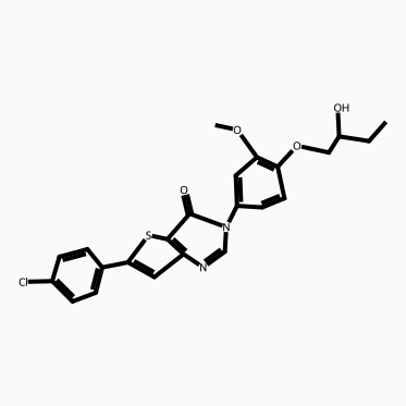 CCC(O)COc1ccc(-n2cnc3cc(-c4ccc(Cl)cc4)sc3c2=O)cc1OC